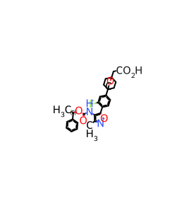 Cc1noc(-c2ccc(C34CCC(CC(=O)O)(CC3)OC4)cc2F)c1NC(=O)O[C@H](C)c1ccccc1